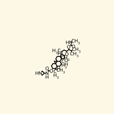 CNC(=O)OC(C(C)C)C1C[C@@H](C)[C@H]2C(O1)C(O)[C@@]1(C)C3CC[C@H]4C(C)(C)C(OC(=O)NC5CNC5)CCC45CC35CCC21C